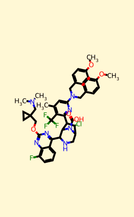 COc1ccc(CN(Cc2ccc(OC)cc2)c2cc(C)c(C(F)(F)F)c(C3C(Cl)C4CNC(c5nc(OCC6(CN(C)C)CC6)nc6c(F)cccc56)C3N4C(=O)O)n2)cc1